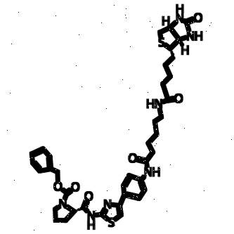 O=C(CCCC[C@@H]1SC[C@@H]2NC(=O)N[C@@H]21)NCCCCCC(=O)Nc1ccc(-c2csc(NC(=O)[C@@H]3CCCN3C(=O)OCc3ccccc3)n2)cc1